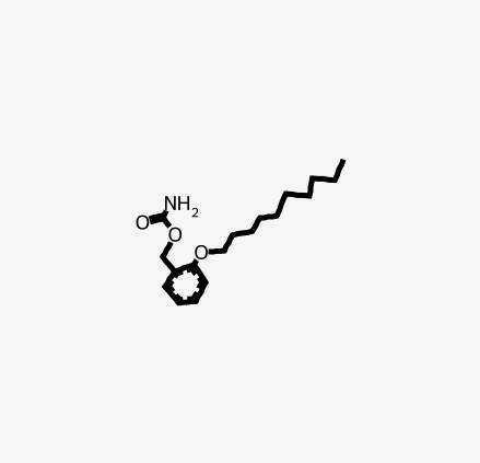 CCCCCCCCCCOc1ccccc1COC(N)=O